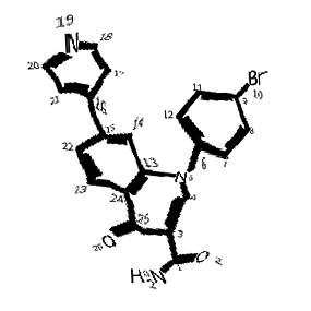 NC(=O)c1cn(-c2ccc(Br)cc2)c2cc(-c3ccncc3)ccc2c1=O